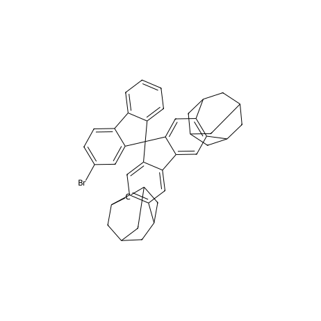 Brc1ccc2c(c1)C1(c3ccccc3-2)c2cc3c(cc2-c2cc4c(cc21)C1CC2CC(CC4C2)C1)C1CC2CC(C1)CC3C2